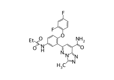 CCS(=O)(=O)Nc1ccc(Oc2ccc(F)cc2F)c(-c2cc(C(N)=O)c3nnc(C)n3n2)c1